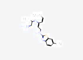 CN/C=C\C(=C/CNc1nc2ccc(C#N)cc2s1)NC(C)CN